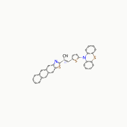 N#C/C(=C\c1ccc(N2c3ccccc3Sc3ccccc32)s1)c1nc2cc3cc4ccccc4cc3cc2s1